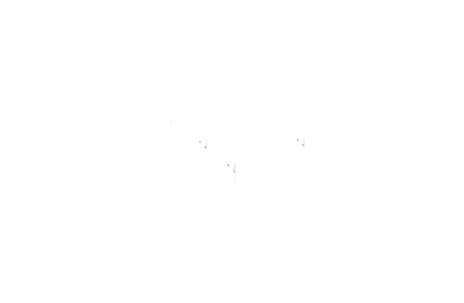 C#[N+]NC#N